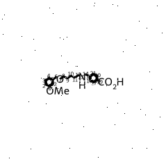 COc1cccc(COCCCCCNCc2ccc(C(=O)O)cc2)c1